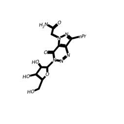 CCCc1nn(CC(N)=O)c2c(=O)n(C3OC(CO)C(O)C3O)nnc12